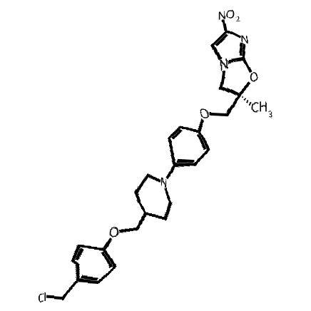 C[C@]1(COc2ccc(N3CCC(COc4ccc(CCl)cc4)CC3)cc2)Cn2cc([N+](=O)[O-])nc2O1